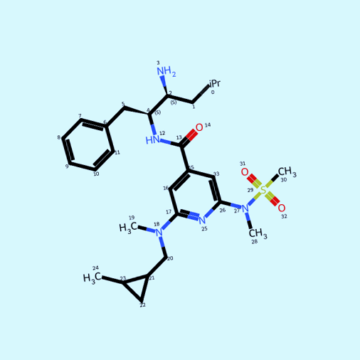 CC(C)C[C@H](N)[C@H](Cc1ccccc1)NC(=O)c1cc(N(C)CC2CC2C)nc(N(C)S(C)(=O)=O)c1